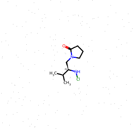 CC(C)[C@@H](CN1CCCC1=O)NCl